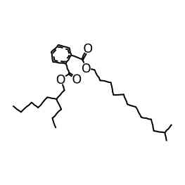 CCCCCC(CCC)COC(=O)c1ccccc1C(=O)OCCCCCCCCCCC(C)C